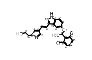 C[C@@H](Oc1ccc2[nH]nc(C=Cc3cnn(CCO)c3)c2c1)c1c(Cl)cncc1Cl